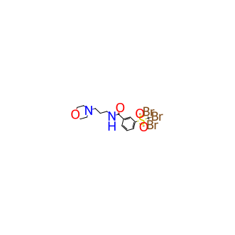 O=C(NCCCN1CCOCC1)c1cccc(S(=O)(=O)C(Br)(Br)Br)c1